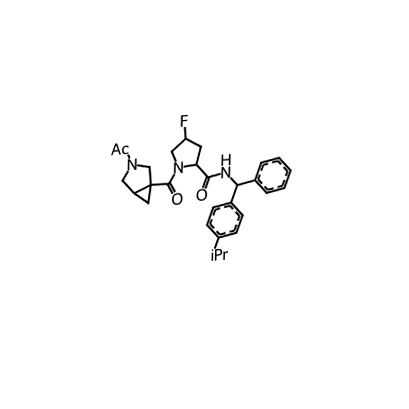 CC(=O)N1CC2CC2(C(=O)N2CC(F)CC2C(=O)NC(c2ccccc2)c2ccc(C(C)C)cc2)C1